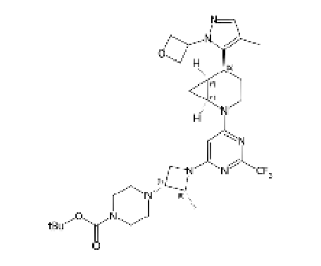 Cc1cnn(C2COC2)c1[C@H]1CCN(c2cc(N3C[C@@H](N4CCN(C(=O)OC(C)(C)C)CC4)[C@H]3C)nc(C(F)(F)F)n2)[C@H]2C[C@@H]12